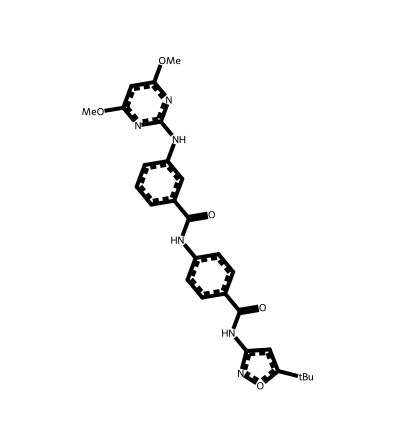 COc1cc(OC)nc(Nc2cccc(C(=O)Nc3ccc(C(=O)Nc4cc(C(C)(C)C)on4)cc3)c2)n1